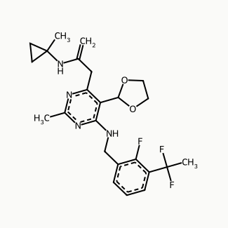 C=C(Cc1nc(C)nc(NCc2cccc(C(C)(F)F)c2F)c1C1OCCO1)NC1(C)CC1